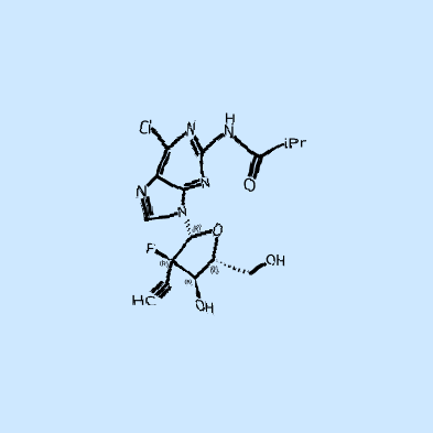 C#C[C@@]1(F)[C@H](O)[C@@H](CO)O[C@H]1n1cnc2c(Cl)nc(NC(=O)C(C)C)nc21